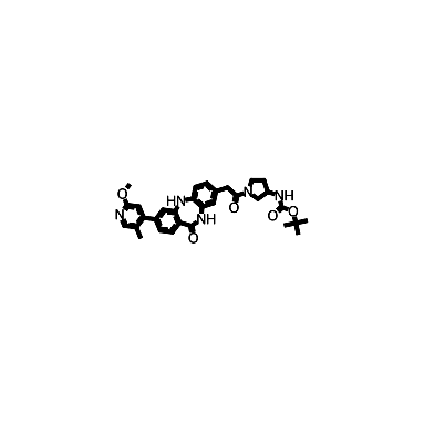 COc1cc(-c2ccc3c(c2)Nc2ccc(CC(=O)N4CCC(NC(=O)OC(C)(C)C)C4)cc2NC3=O)c(C)cn1